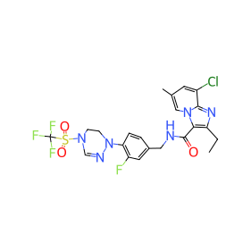 CCc1nc2c(Cl)cc(C)cn2c1C(=O)NCc1ccc(N2CCN(S(=O)(=O)C(F)(F)F)C=N2)c(F)c1